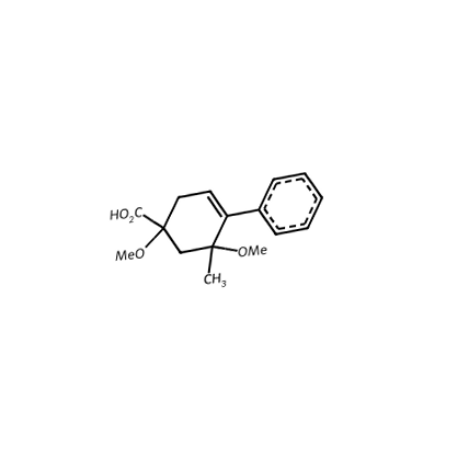 COC1(C)CC(OC)(C(=O)O)CC=C1c1ccccc1